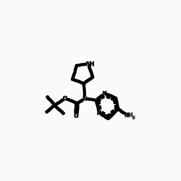 CC(C)(C)OC(=O)N(c1ncc(N)cn1)C1CCNC1